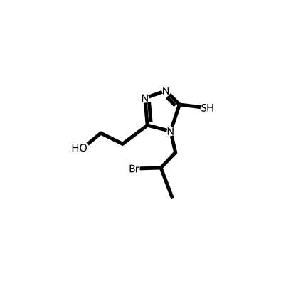 CC(Br)Cn1c(S)nnc1CCO